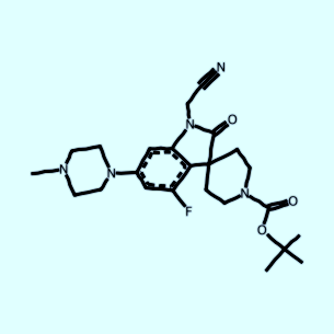 CN1CCN(c2cc(F)c3c(c2)N(CC#N)C(=O)C32CCN(C(=O)OC(C)(C)C)CC2)CC1